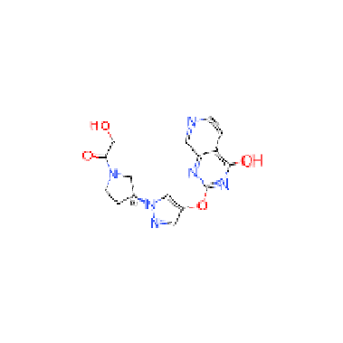 O=C(CO)N1CC[C@H](n2cc(Oc3nc(O)c4ccncc4n3)cn2)C1